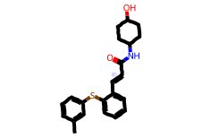 Cc1cccc(Sc2ccccc2/C=C/C(=O)NC2CCC(O)CC2)c1